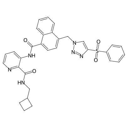 O=C(NCC1CCC1)c1ncccc1NC(=O)c1ccc(Cn2cc(S(=O)(=O)c3ccccc3)nn2)c2ccccc12